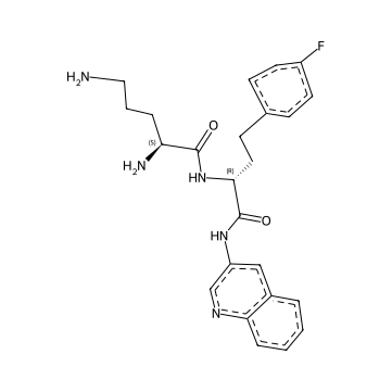 NCCC[C@H](N)C(=O)N[C@H](CCc1ccc(F)cc1)C(=O)Nc1cnc2ccccc2c1